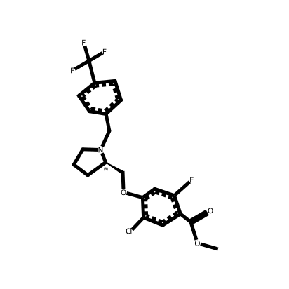 COC(=O)c1cc(Cl)c(OC[C@H]2CCCN2Cc2ccc(C(F)(F)F)cc2)cc1F